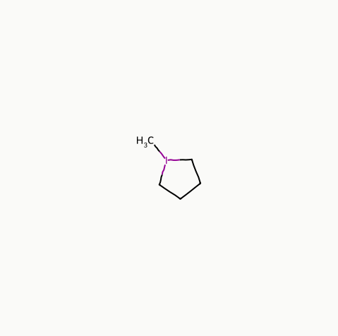 CI1CCCC1